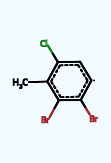 Cc1c(Cl)c[c]c(Br)c1Br